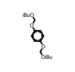 CC(C)COCOc1ccc(OCOCC(C)C)cc1